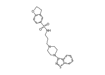 O=S(=O)(NCCCN1CCN(c2nsc3ccccc23)CC1)c1ccc2c(c1)CCO2